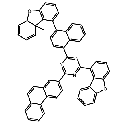 CC12C=CC=CC1Oc1cccc(-c3ccc(-c4nc(-c5ccc6c(ccc7ccccc76)c5)nc(-c5cccc6oc7ccccc7c56)n4)c4ccccc34)c12